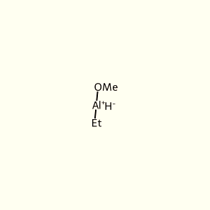 C[CH2][Al+][O]C.[H-]